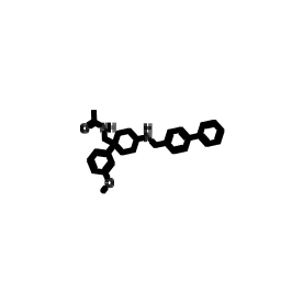 COc1cccc(C2(CNC(C)=O)CCC(NCc3ccc(-c4ccccc4)cc3)CC2)c1